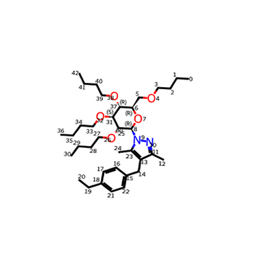 CCCCOC[C@H]1O[C@@H](n2nc(C)c(Cc3ccc(CC)cc3)c2C)[C@H](OCCCC)[C@@H](OCCCC)[C@@H]1OCCCC